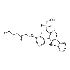 Cc1c(C2c3[nH]c4ccccc4c3C[C@@H](C)N2CC(F)(F)CO)ccnc1OCCNCCCF